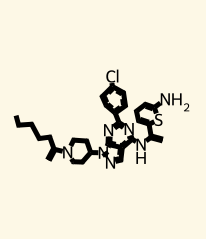 C=C(Nc1nc(-c2ccc(Cl)cc2)nc2c1cnn2C1CCN(C(=C)CCCCC)CC1)C1=CCC=C(N)S1